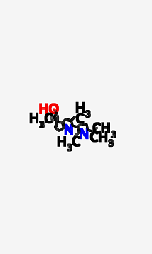 CCc1cc2c(nc1-c1ccc(C(C)C)nc1CC)CC=C2[C@H](C)CO